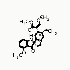 CC[C@@H]1CN2CC[C@]3(Nc4cccc(OC)c4C3=O)C2C[C@@H]1C(=COC)C(=O)OC